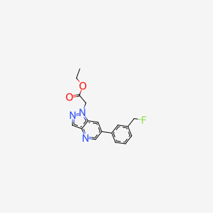 CCOC(=O)Cn1ncc2ncc(-c3cccc(CF)c3)cc21